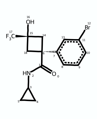 O=C(NC1CC1)[C@]1(c2cccc(Br)c2)C[C@](O)(C(F)(F)F)C1